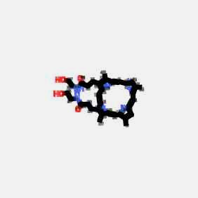 CC1=Cc2cc3[nH]c(cc4nc(cc5[nH]c(cc1n2)c(C)c5CCC(=O)NCCO)C(CCC(=O)NCCO)=C4C)cc3C